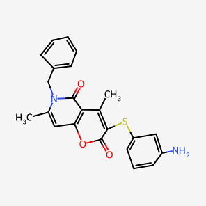 Cc1c(Sc2cccc(N)c2)c(=O)oc2cc(C)n(Cc3ccccc3)c(=O)c12